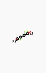 CCOc1ccc(-c2ccc(-c3ccc(C4CCC5C(CC)[C@@H]5C4)c(F)c3)cc2)c(F)c1F